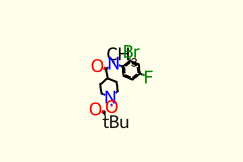 CN(C(=O)C1CCN(OC(=O)C(C)(C)C)CC1)c1ccc(F)cc1Br